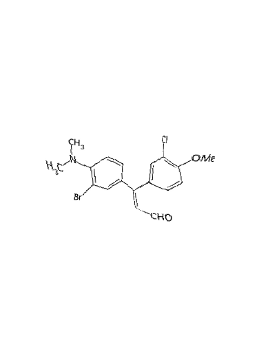 COc1ccc(/C(=C\C=O)c2ccc(N(C)C)c(Br)c2)cc1Cl